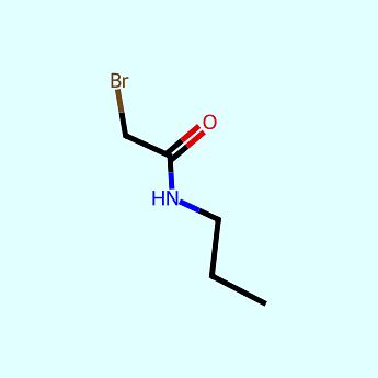 CCCNC(=O)CBr